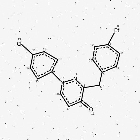 CCc1ccc(Cc2nn(-c3ccc(Cl)cc3)ccc2=O)cc1